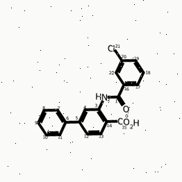 O=C(Nc1cc(-c2ccccc2)ccc1C(=O)O)c1cccc(Cl)c1